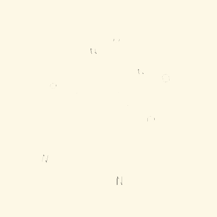 N#CC1=C(C#N)C(=O)C(N=O)=C(N=O)C1=O